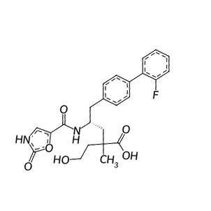 CC(CCO)(C[C@@H](Cc1ccc(-c2ccccc2F)cc1)NC(=O)c1c[nH]c(=O)o1)C(=O)O